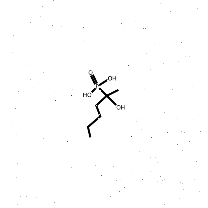 CCCCC(C)(O)P(=O)(O)O